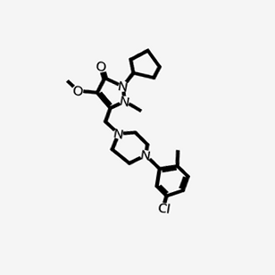 COc1c(CN2CCN(c3cc(Cl)ccc3C)CC2)n(C)n(C2CCCC2)c1=O